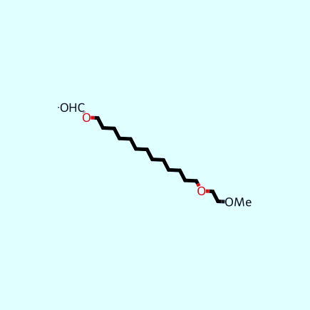 COCCOCCCCCCCCCCCCCO[C]=O